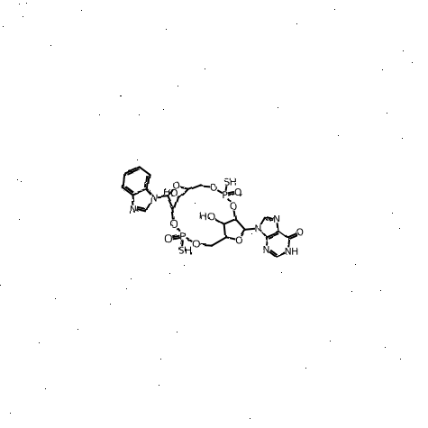 O=c1[nH]cnc2c1ncn2C1OC2COP(=O)(S)OC3C(O)C(COP(=O)(S)OC1C2O)OC3n1cnc2ccccc21